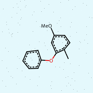 COc1ccc(C)c(Oc2ccccc2)c1